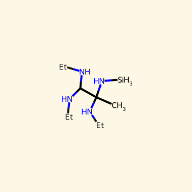 CCNC(NCC)C(C)(N[SiH3])NCC